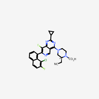 N#CC[C@H]1CN(c2nc(C3CC3)nc3c(F)c(-c4cccc5ccc(F)c(Cl)c45)ncc23)CCN1C(=O)O